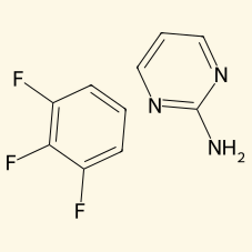 Fc1cccc(F)c1F.Nc1ncccn1